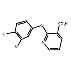 O=C(O)c1cccnc1Oc1ccc(Cl)c(Cl)c1